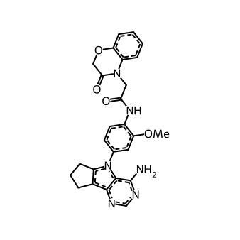 COc1cc(-n2c3c(c4ncnc(N)c42)CCC3)ccc1NC(=O)CN1C(=O)COc2ccccc21